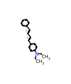 CCN(CC)c1ccc(/C=C/C=C/c2ccccc2)cc1